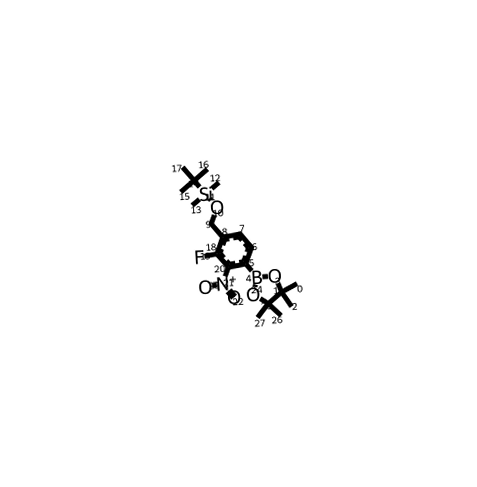 CC1(C)OB(c2ccc(CO[Si](C)(C)C(C)(C)C)c(F)c2[N+](=O)[O-])OC1(C)C